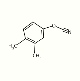 Cc1ccc(OC#N)cc1C